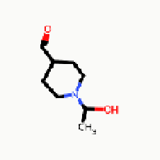 CC(O)N1CCC(C=O)CC1